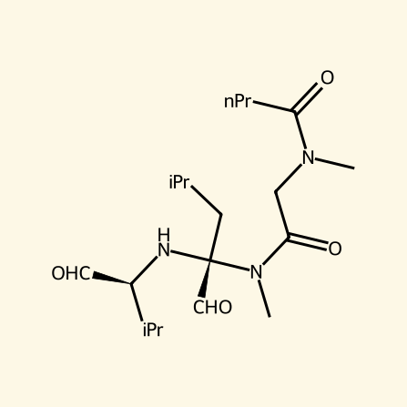 CCCC(=O)N(C)CC(=O)N(C)[C@@](C=O)(CC(C)C)N[C@H](C=O)C(C)C